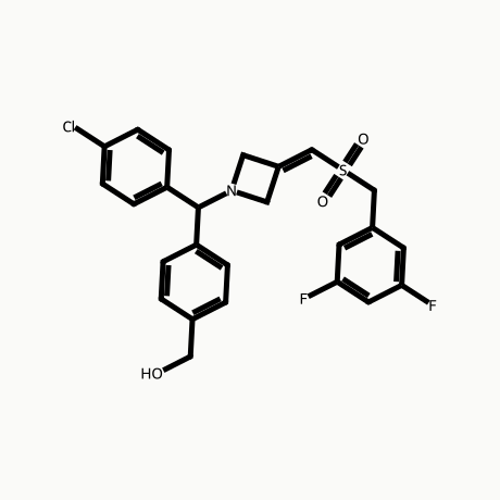 O=S(=O)(C=C1CN(C(c2ccc(Cl)cc2)c2ccc(CO)cc2)C1)Cc1cc(F)cc(F)c1